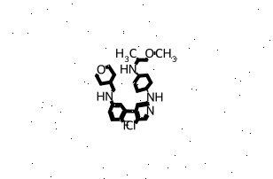 COC[C@H](C)N[C@H]1CC[C@H](Nc2cc(-c3cc(NCC4CCOCC4)ccc3F)c(Cl)cn2)CC1